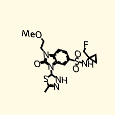 COCCn1c(=O)n(C2NN=C(C)S2)c2cc(S(=O)(=O)NC3(CF)CC3)ccc21